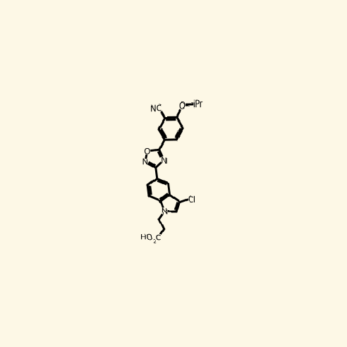 CC(C)Oc1ccc(-c2nc(-c3ccc4c(c3)c(Cl)cn4CCC(=O)O)no2)cc1C#N